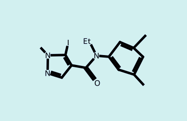 CCN(C(=O)c1cnn(C)c1I)c1cc(C)cc(C)c1